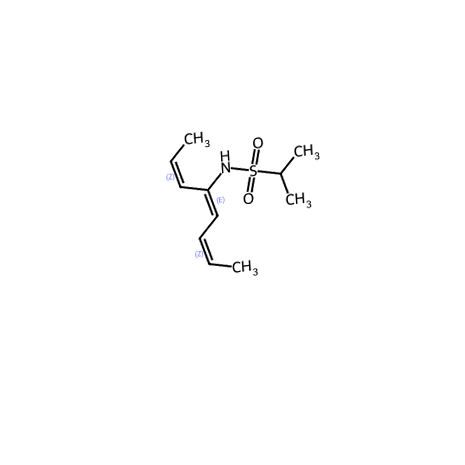 C\C=C/C=C(\C=C/C)NS(=O)(=O)C(C)C